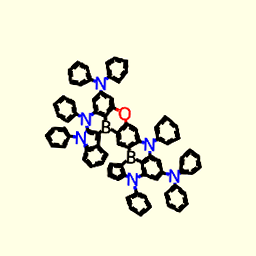 c1ccc(N(c2ccccc2)c2cc3c4c(c2)N(c2ccccc2)c2c(c5ccccc5n2-c2ccccc2)B4c2cc4c(cc2O3)N(c2ccccc2)c2cc(N(c3ccccc3)c3ccccc3)cc3c2B4c2ccccc2N3c2ccccc2)cc1